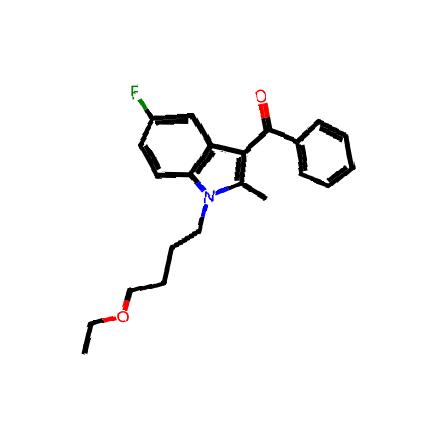 CCOCCCCn1c(C)c(C(=O)c2ccccc2)c2cc(F)ccc21